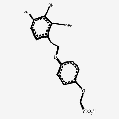 CCCc1c(COc2ccc(OCC(=O)O)cc2)ccc(C(C)=O)c1O